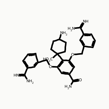 N=C(N)c1cccc(COc2cc(C(N)=O)cc(OCc3cccc(C(=N)N)c3)c2C2(C(=O)O)CCC(N)CC2)c1